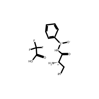 CC(C)C[C@H](N)C(=O)N[S+]([O-])c1ccccc1.O=C(O)C(F)(F)F